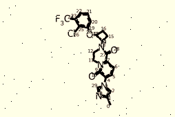 Cc1cn(-c2ccc3n(c2=O)CCN([C@@H]2CC[C@H]2Oc2cccc(C(F)(F)F)c2Cl)C3=O)cn1